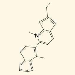 CCc1ccc2ccc(-c3ccc4ccccc4c3C)[n+](C)c2c1